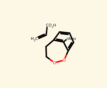 C=CC(=O)O.CCCCCCCCCc1c2cccc1OOCC2